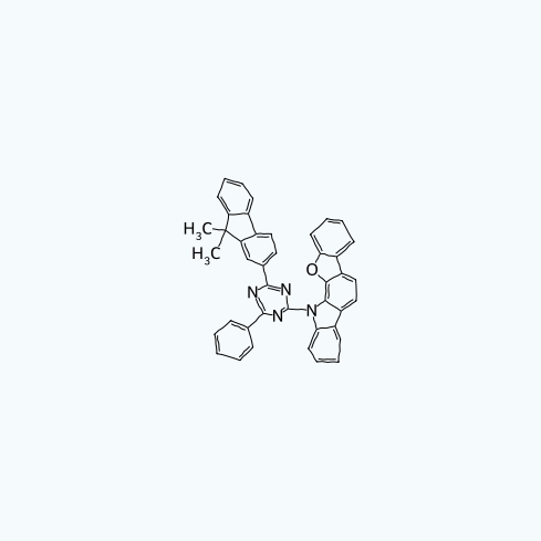 CC1(C)c2ccccc2-c2ccc(-c3nc(-c4ccccc4)nc(-n4c5ccccc5c5ccc6c7ccccc7oc6c54)n3)cc21